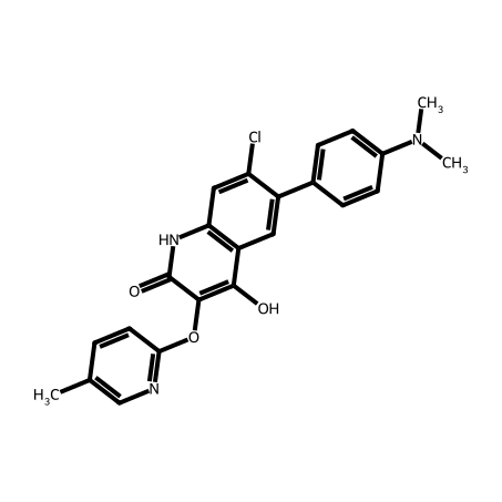 Cc1ccc(Oc2c(O)c3cc(-c4ccc(N(C)C)cc4)c(Cl)cc3[nH]c2=O)nc1